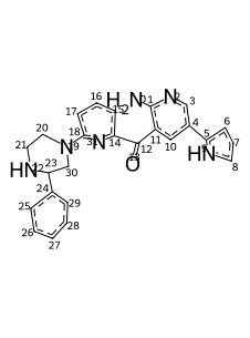 Nc1ncc(-c2ccc[nH]2)cc1C(=O)c1cccc(N2CCNC(c3ccccc3)C2)n1